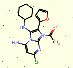 CC(=O)[n+]1c(-c2ccco2)c(NC2CCCCC2)n2c(N)cc(Cl)nc21.[Cl-]